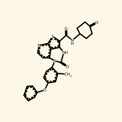 Cc1cc(Oc2ccccc2)ccc1N1C(=O)Nc2c(C(=O)NC3CCC(=O)CC3)sc3nccc1c23